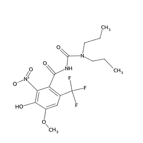 CCCN(CCC)C(=O)NC(=O)c1c(C(F)(F)F)cc(OC)c(O)c1[N+](=O)[O-]